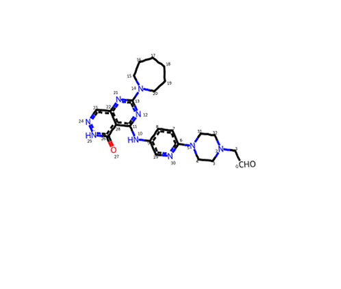 O=CCN1CCN(c2ccc(Nc3nc(N4CCCCCC4)nc4cn[nH]c(=O)c34)cn2)CC1